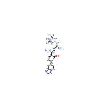 CN(/C(N)=C/C=C(\N)c1ccc(-c2ccn3ccnc3c2)cc1O)C1CC(C)(C)NC(C)(C)C1